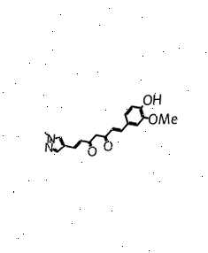 COc1cc(C=CC(=O)CC(=O)C=Cc2cnn(C)c2)ccc1O